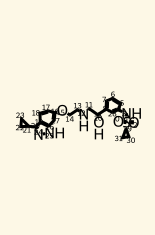 O=S(=O)(Nc1cccc([C@@H](O)CNCCOc2ccc3c(C4CC4)n[nH]c3c2)c1)C1CC1